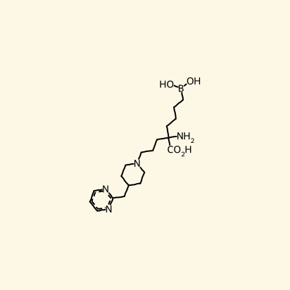 NC(CCCCB(O)O)(CCCN1CCC(Cc2ncccn2)CC1)C(=O)O